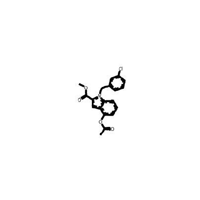 COC(=O)c1cc2c(OC(C)=O)cccc2n1Cc1cccc(Cl)c1